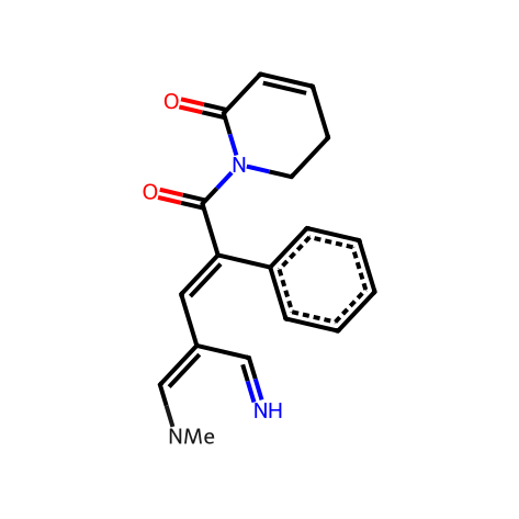 CN/C=C(C=N)/C=C(/C(=O)N1CCC=CC1=O)c1ccccc1